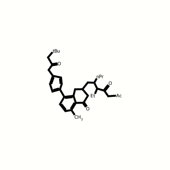 CCCC(CC1CC(=O)c2c(C)ccc(-c3ccc(CC(=O)CC(C)(C)C)cc3)c2C1)C(CC)C(=O)CC(C)=O